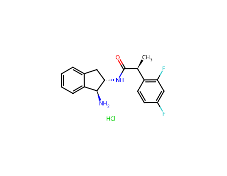 C[C@H](C(=O)N[C@H]1Cc2ccccc2[C@@H]1N)c1ccc(F)cc1F.Cl